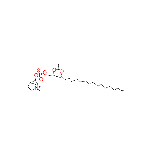 CCCCCCCCCCCCCCCCOCC(COP(=O)([O-])OC1C[N+]2(C)CCC1C2)OC(C)=O